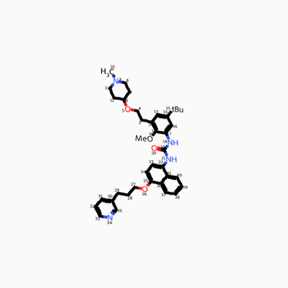 COc1c(CCOC2CCN(C)CC2)cc(C(C)(C)C)cc1NC(=O)Nc1ccc(OCCCc2cccnc2)c2ccccc12